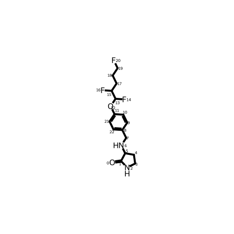 O=C1NCCC1NCc1ccc(OC(F)C(F)CCCF)cc1